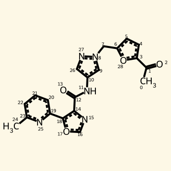 CC(=O)c1ccc(Cn2cc(NC(=O)c3ncoc3-c3cccc(C)n3)cn2)o1